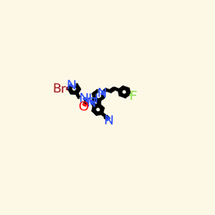 N#Cc1ccc2c(c1)c1c(n2C(=O)NCc2ccnc(Br)c2)CCN(CC=Cc2ccc(F)cc2)C1